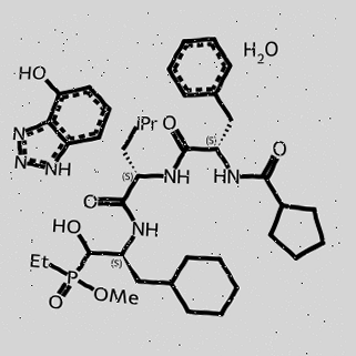 CCP(=O)(OC)C(O)[C@H](CC1CCCCC1)NC(=O)[C@H](CC(C)C)NC(=O)[C@H](Cc1ccccc1)NC(=O)C1CCCC1.O.Oc1cccc2[nH]nnc12